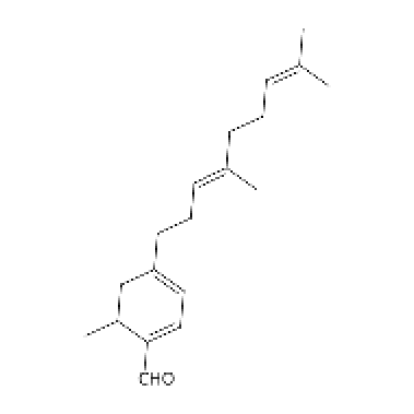 CC(C)=CCC/C(C)=C/CCC1=CC=C(C=O)C(C)C1